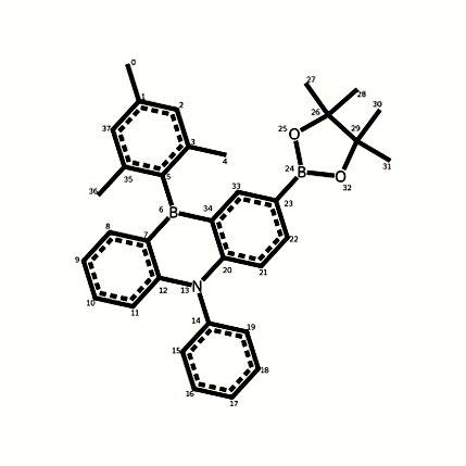 Cc1cc(C)c(B2c3ccccc3N(c3ccccc3)c3ccc(B4OC(C)(C)C(C)(C)O4)cc32)c(C)c1